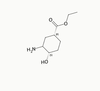 CCOC(=O)[C@@H]1CC[C@H](O)C(N)C1